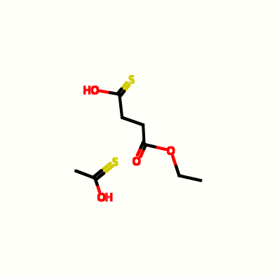 CC(O)=S.CCOC(=O)CCC(O)=S